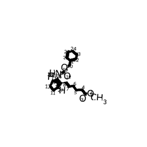 COC(=O)CCCC=C[C@H]1[C@@H]2CC[C@@H](C2)[C@@H]1NC(=O)OCc1ccccc1